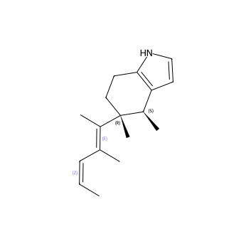 C/C=C\C(C)=C(/C)[C@]1(C)CCc2[nH]ccc2[C@H]1C